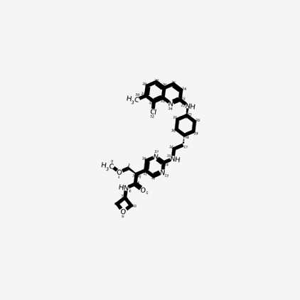 COC[C@H](C(=O)NC1COC1)c1cnc(NCC[C@H]2CC[C@H](Nc3ccc4ccc(C)c(Cl)c4n3)CC2)nc1